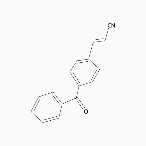 N#CC=Cc1ccc(C(=O)c2ccccc2)cc1